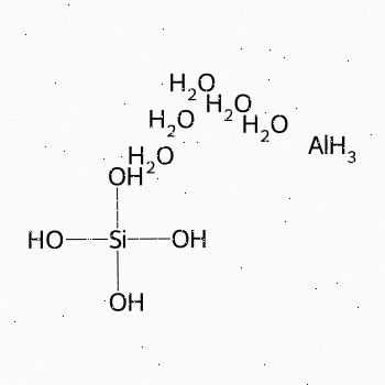 O.O.O.O.O.O[Si](O)(O)O.[AlH3]